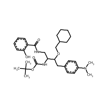 CN(C)c1ccc(CC(OCC2CCCCC2)C(CNC(=O)c2ccccc2O)NC(=O)OC(C)(C)C)cc1